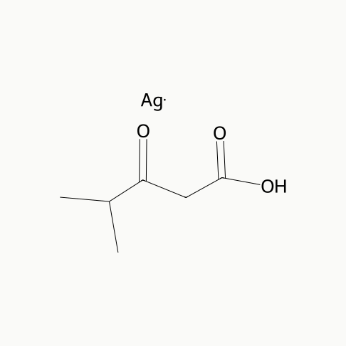 CC(C)C(=O)CC(=O)O.[Ag]